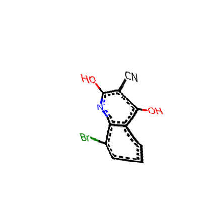 N#Cc1c(O)nc2c(Br)cccc2c1O